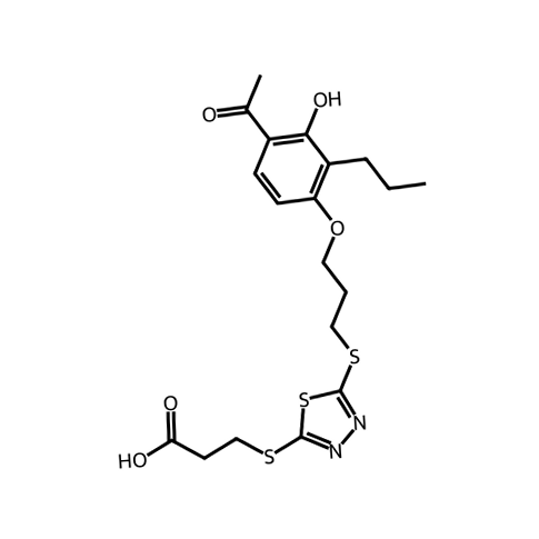 CCCc1c(OCCCSc2nnc(SCCC(=O)O)s2)ccc(C(C)=O)c1O